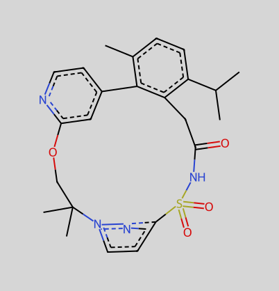 Cc1ccc(C(C)C)c2c1-c1ccnc(c1)OCC(C)(C)n1ccc(n1)S(=O)(=O)NC(=O)C2